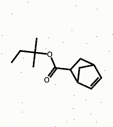 CCC(C)(C)OC(=O)C1CC2C=CC1C2